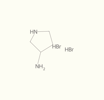 Br.Br.NC1CCNC1